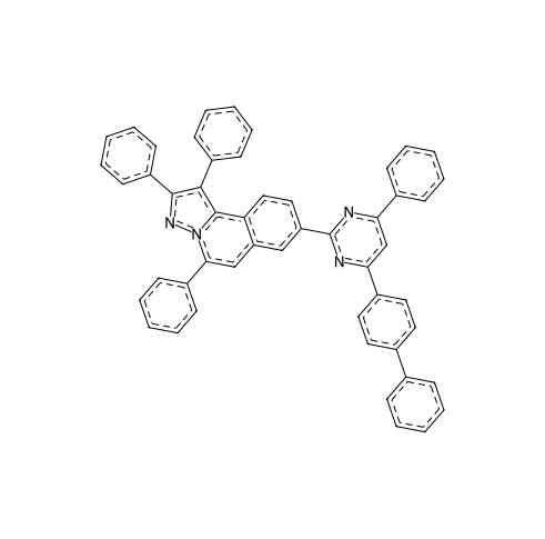 c1ccc(-c2ccc(-c3cc(-c4ccccc4)nc(-c4ccc5c(c4)cc(-c4ccccc4)n4nc(-c6ccccc6)c(-c6ccccc6)c54)n3)cc2)cc1